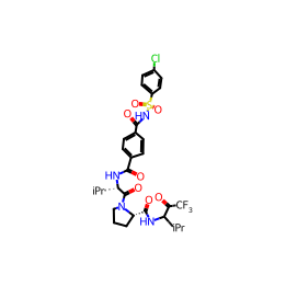 CC(C)C(NC(=O)[C@@H]1CCCN1C(=O)[C@@H](NC(=O)c1ccc(C(=O)NS(=O)(=O)c2ccc(Cl)cc2)cc1)C(C)C)C(=O)C(F)(F)F